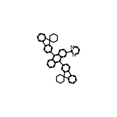 c1cnc(-c2ccc3c(-c4ccc5c(c4)C4(CCCCC4)c4ccccc4-5)c4ccccc4c(-c4ccc5c(c4)C4(CCCCC4)c4ccccc4-5)c3c2)nc1